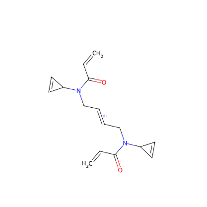 C=CC(=O)N(C/C=C/CN(C(=O)C=C)C1C=C1)C1C=C1